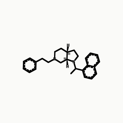 CC(c1cccc2ccccc12)N1CC[C@H]2CCN(CCc3ccccc3)C[C@H]21